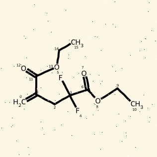 C=C(CC(F)(F)C(=O)OCC)C(=O)OCC